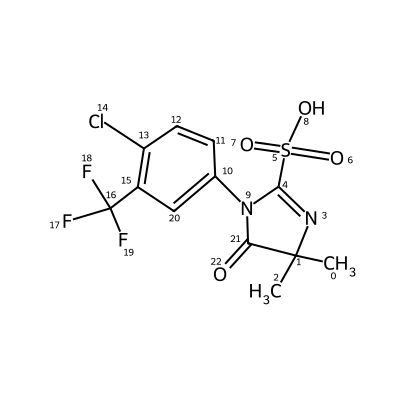 CC1(C)N=C(S(=O)(=O)O)N(c2ccc(Cl)c(C(F)(F)F)c2)C1=O